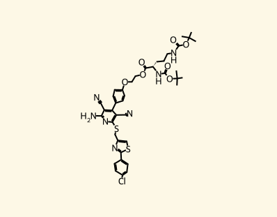 CC(C)(C)OC(=O)NCCC[C@H](NC(=O)OC(C)(C)C)C(=O)OCCOc1ccc(-c2c(C#N)c(N)nc(SCc3csc(-c4ccc(Cl)cc4)n3)c2C#N)cc1